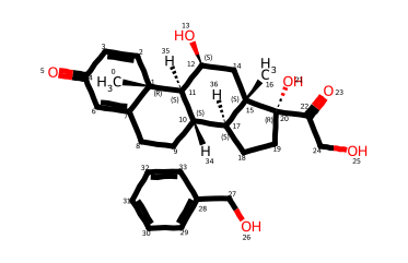 C[C@]12C=CC(=O)C=C1CC[C@@H]1[C@@H]2[C@@H](O)C[C@@]2(C)[C@H]1CC[C@]2(O)C(=O)CO.OCc1ccccc1